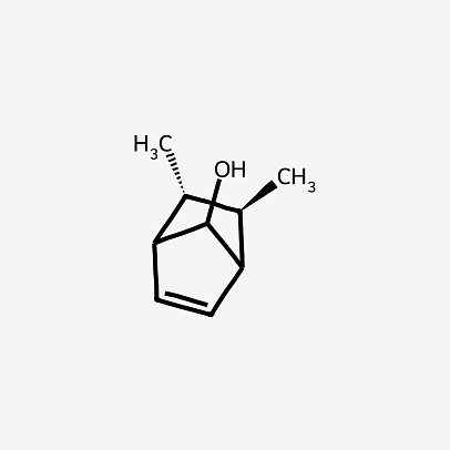 C[C@H]1C2C=CC(C2O)[C@@H]1C